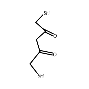 O=C(CS)CC(=O)CS